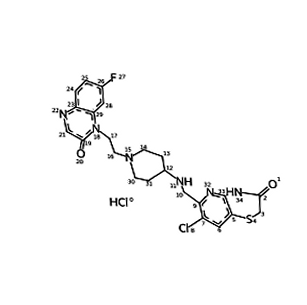 Cl.O=C1CSc2cc(Cl)c(CNC3CCN(CCn4c(=O)cnc5ccc(F)cc54)CC3)nc2N1